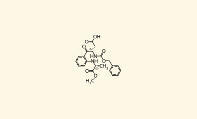 COC(=O)[C@H](C)Nc1ccccc1C(=O)[C@H](CC(=O)O)NC(=O)OCc1ccccc1